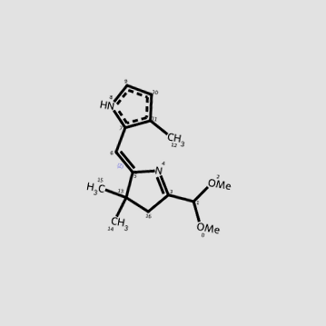 COC(OC)C1=N/C(=C\c2[nH]ccc2C)C(C)(C)C1